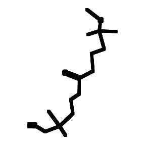 COC(C)(C)CCCC(=O)CCCC(C)(C)CO